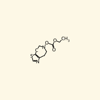 CCOC(=O)ON1CCc2ncsc2CC1